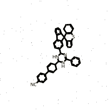 N#Cc1ccc(C2=CCC(C3NC(c4ccccc4)=NC(c4ccc5c(c4)C4(C6=CCCC=C6SC6=C4CCC=C6)c4ccccc4-5)N3)C=C2)cc1